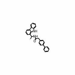 [CH2]C(NC(=O)Cc1ccc(-c2ccccc2)cc1)c1cccc2c1[nH]c1ccccc12